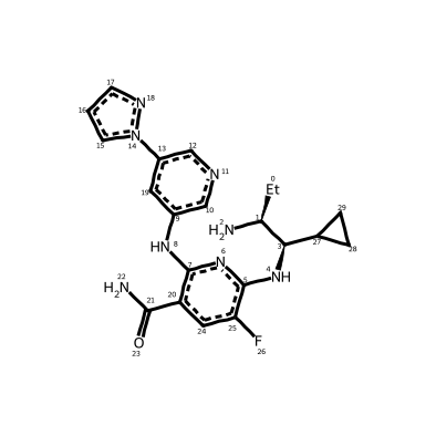 CC[C@H](N)[C@H](Nc1nc(Nc2cncc(-n3cccn3)c2)c(C(N)=O)cc1F)C1CC1